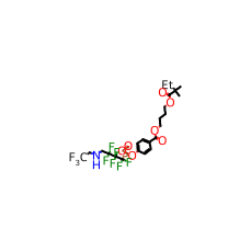 CCC(C)(C)C(=O)OCCCCOC(=O)c1ccc(OS(=O)(=O)C(F)(F)C(F)(F)C(F)(F)CNCC(F)(F)F)cc1